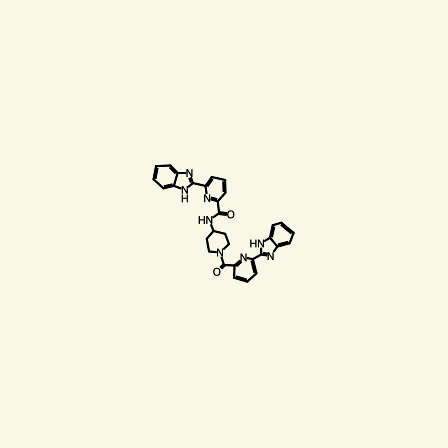 O=C(NC1CCN(C(=O)c2cccc(-c3nc4ccccc4[nH]3)n2)CC1)c1cccc(-c2nc3ccccc3[nH]2)n1